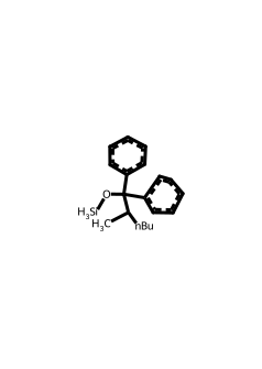 CCCCC(C)C(O[SiH3])(c1ccccc1)c1ccccc1